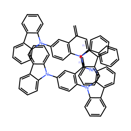 C=C(/C=C(\C=C(/N)c1cc(-n2c3ccccc3c3ccccc32)ccc1-n1c2ccccc2c2ccccc21)c1ccccc1)c1cc(-n2c3ccccc3c3ccccc32)ccc1-n1c2ccccc2c2ccccc21